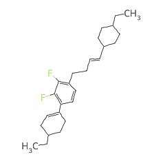 CCC1CC=C(c2ccc(CC/C=C/C3CCC(CC)CC3)c(F)c2F)CC1